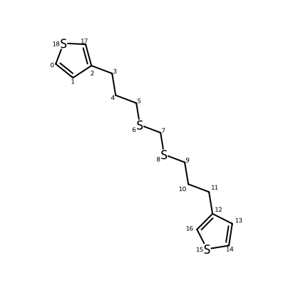 c1cc(CCCSCSCCCc2ccsc2)cs1